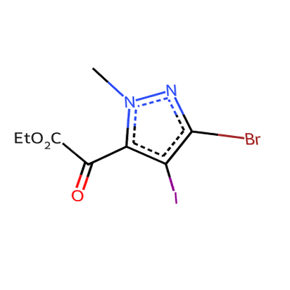 CCOC(=O)C(=O)c1c(I)c(Br)nn1C